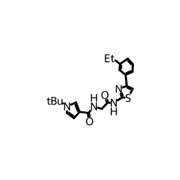 CCc1cccc(-c2csc(NC(=O)CNC(=O)c3ccn(C(C)(C)C)c3)n2)c1